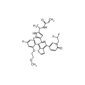 C=CC(=O)N[C@H](C)c1cc(-c2nc(-c3ccc(=O)n(CC(F)F)c3)c3ccsc3c2-c2c(F)cc(F)cc2OCCOC)n[nH]1